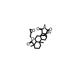 CC(C)C1=CC23CCC4C(C)(C(=O)OCC5CO5)CCCC4(C)C2CC1C1C(=O)N(C)C(=O)C13